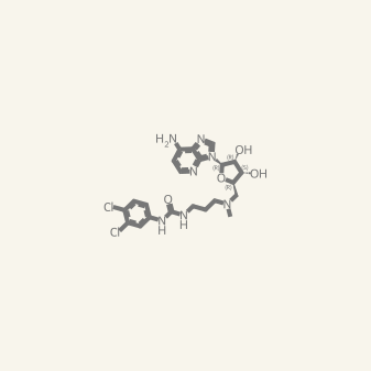 CN(CCCNC(=O)Nc1ccc(Cl)c(Cl)c1)C[C@H]1O[C@@H](n2cnc3c(N)ccnc32)[C@H](O)[C@@H]1O